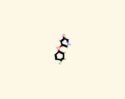 Fc1ccc(Oc2cncc(I)c2)cc1